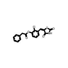 O=C(Cc1ccccc1)Oc1cccc(C=C2SC(=O)NC2=O)c1Cl